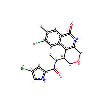 Cc1cc2c(=O)[nH]c3c(c2cc1F)C(N(C)C(=O)c1cc(Br)c[nH]1)COC3